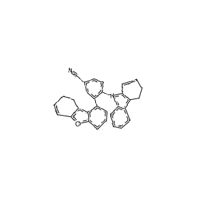 N#Cc1ccc(-n2c3c(c4ccccc42)CCC=C3)c(-c2cccc3oc4c(c23)CCC=C4)c1